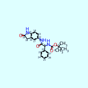 CC(C)(C)OC(=O)NC(C(=O)Nc1ccc2c(c1)CC(=O)N2)c1ccccc1